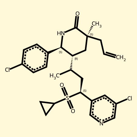 C=CC[C@@]1(C)C[C@H](C(C)C[C@@H](c2cncc(Cl)c2)S(=O)(=O)C2CC2)[C@@H](c2ccc(Cl)cc2)NC1=O